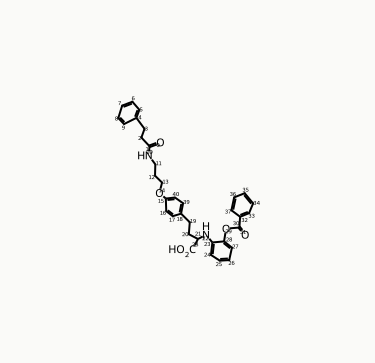 O=C(CCc1ccccc1)NCCCOc1ccc(CCC(Nc2ccccc2OC(=O)c2ccccc2)C(=O)O)cc1